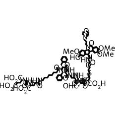 COc1cc2c(cc1O)/C(=N\NC(=O)OCCSSC[C@H](NC(=O)[C@H](CC=O)NC(=O)[C@@H](N)CNC(=O)[C@H](Cc1ccccc1)NC(=O)[C@H](Cc1ccccc1)NC(=O)CCCCCCCNC(=O)CC[C@H](NC(=O)N[C@@H](CCC(=O)O)C(=O)O)C(=O)O)C(=O)O)c1c-2n(CCCN2CCOCC2)c(=O)c2cc(OC)c(OC)cc12